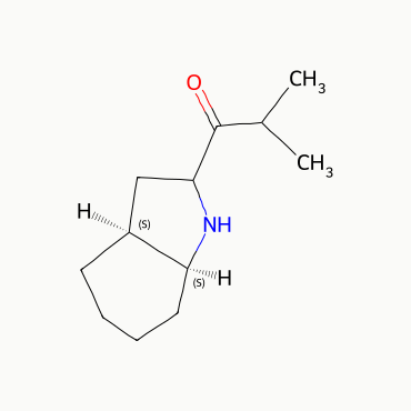 CC(C)C(=O)C1C[C@@H]2CCCC[C@@H]2N1